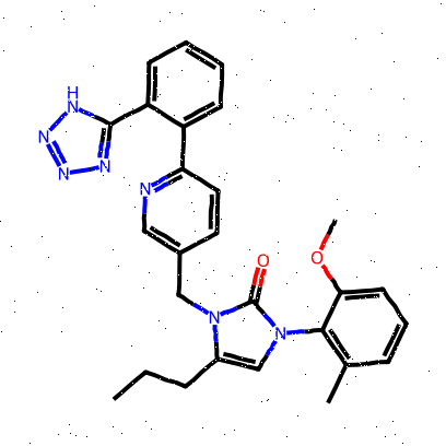 CCCc1cn(-c2c(C)cccc2OC)c(=O)n1Cc1ccc(-c2ccccc2-c2nnn[nH]2)nc1